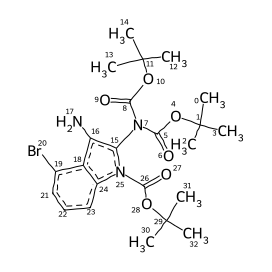 CC(C)(C)OC(=O)N(C(=O)OC(C)(C)C)c1c(N)c2c(Br)cccc2n1C(=O)OC(C)(C)C